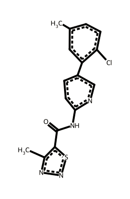 Cc1ccc(Cl)c(-c2ccc(NC(=O)c3snnc3C)nc2)c1